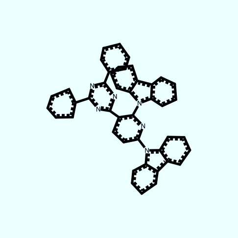 c1ccc(-c2nc(-c3ccccc3)nc(-c3ccc(-n4c5ccccc5c5ccccc54)nc3-n3c4ccccc4c4ccccc43)n2)cc1